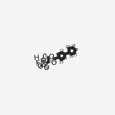 CC(CS(=O)(=O)OF)OC(=O)c1ccc(-c2ccccc2)cc1